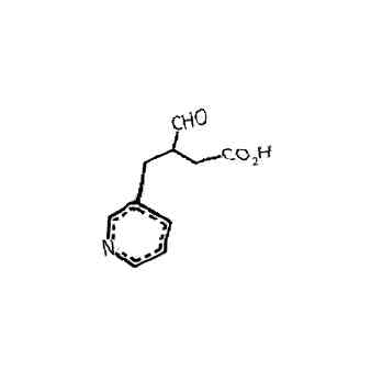 O=CC(CC(=O)O)Cc1cccnc1